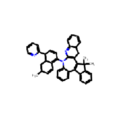 CC1C=CC2=C(N3C4=C(CC5C=CC=CC5=N4)C4=C(c5ccccc53)c3ccccc3C4(C)C)C=CC(c3ccccn3)C2C1